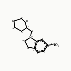 O=[N+]([O-])c1ccc2c(c1)N(CC1CCCCC1)CC2